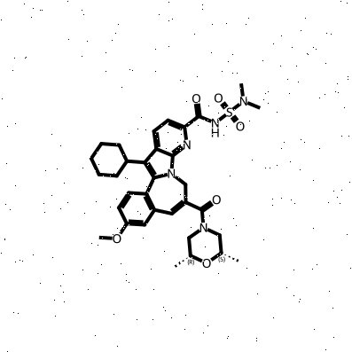 COc1ccc2c(c1)C=C(C(=O)N1C[C@@H](C)O[C@@H](C)C1)Cn1c-2c(C2CCCCC2)c2ccc(C(=O)NS(=O)(=O)N(C)C)nc21